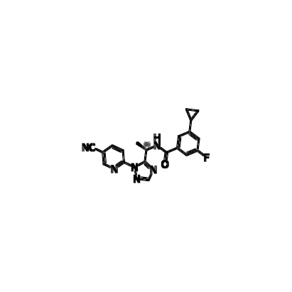 C[C@@H](NC(=O)c1cc(F)cc(C2CC2)c1)c1ncnn1-c1ccc(C#N)cn1